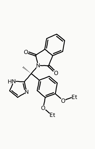 CCOc1ccc([C@@](C)(c2ncc[nH]2)N2C(=O)c3ccccc3C2=O)cc1OCC